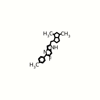 Cc1ccc(-c2nc3cc(CC4CCC5C(C)CC(C)C45)[nH]c3cc2F)cc1